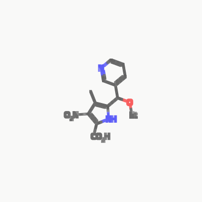 CCOC(c1cccnc1)c1[nH]c(C(=O)O)c([N+](=O)[O-])c1C